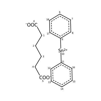 O=C([O-])CCCCC(=O)[O-].c1cc[c]([Sn+2][c]2ccccc2)cc1